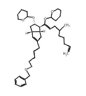 C=CCCCC(C)CC=C(OC1CCCCO1)[C@H]1[C@@H]2CC(CCCCCOCc3ccccc3)=C[C@@H]2C[C@@H]1OC1CCCCO1